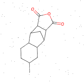 CC1CCC2C(C1)C1CC2C2C(=O)OC(=O)C12